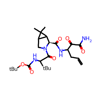 C=CCC(NC(=O)[C@@H]1C2C(CN1C(=O)C(NC(=O)OC(C)(C)C)C(C)(C)C)C2(C)C)C(=O)C(N)=O